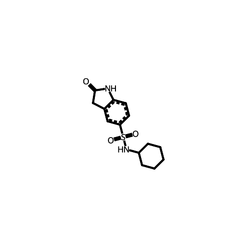 O=C1Cc2cc(S(=O)(=O)NC3CCCCC3)ccc2N1